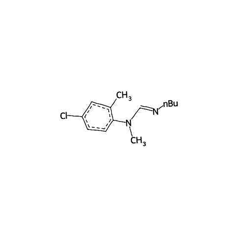 CCCCN=CN(C)c1ccc(Cl)cc1C